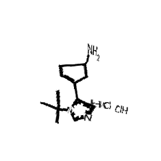 CC(C)(C)n1cncc1C1=CCC(N)C1.Cl.Cl